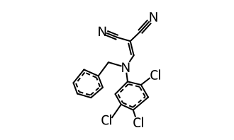 N#CC(C#N)=CN(Cc1ccccc1)c1cc(Cl)c(Cl)cc1Cl